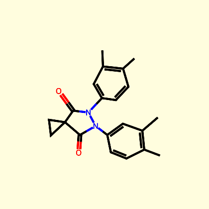 Cc1ccc(N2C(=O)C3(CC3)C(=O)N2c2ccc(C)c(C)c2)cc1C